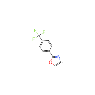 FC(F)(F)c1ccc(-c2n[c]co2)cc1